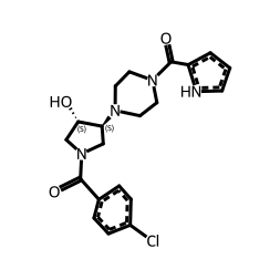 O=C(c1ccc(Cl)cc1)N1C[C@H](O)[C@@H](N2CCN(C(=O)c3ccc[nH]3)CC2)C1